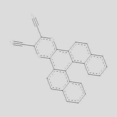 N#Cc1nc2c3ccc4ccccc4c3c3c4ccccc4ccc3c2nc1C#N